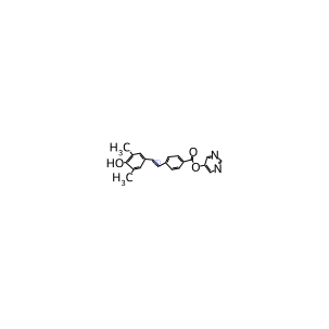 Cc1cc(/C=C/c2ccc(C(=O)Oc3cncnc3)cc2)cc(C)c1O